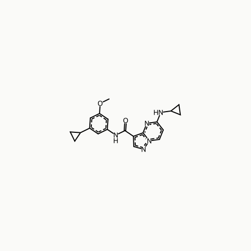 COc1cc(NC(=O)c2cnn3ccc(NC4CC4)nc23)cc(C2CC2)c1